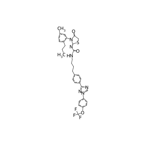 CCCc1ccc(C)cc1N1C(=O)CSC1=NC(=O)NCCCCc1ccc(-c2ncn(-c3ccc(OC(F)(F)F)cc3)n2)cc1